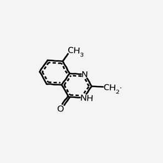 [CH2]c1nc2c(C)cccc2c(=O)[nH]1